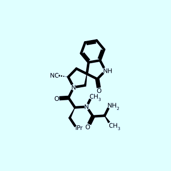 CC(C)C[C@@H](C(=O)N1C[C@]2(C[C@H]1C#N)C(=O)Nc1ccccc12)N(C)C(=O)[C@H](C)N